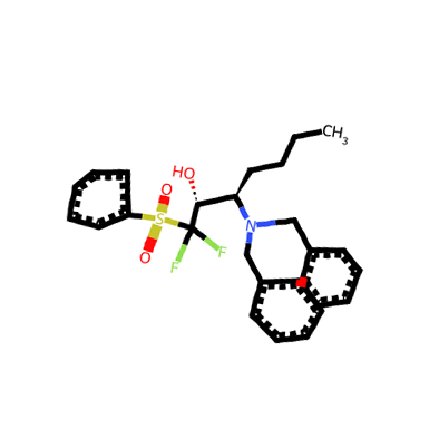 CCCC[C@H]([C@@H](O)C(F)(F)S(=O)(=O)c1ccccc1)N(Cc1ccccc1)Cc1ccccc1